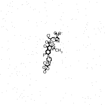 Cc1oc(=O)oc1CN1CCN(c2cc3c(cc2F)c(=O)c(C(=O)OC(CCl)Cn2c([N+](=O)[O-])cnc2C)c2n3C(C)S2)CC1